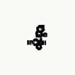 O=c1c2cnccc2ccn1CC1(O)CCNCC12CCCC2